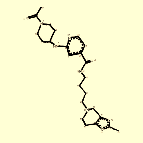 CC(=O)N1CCC(Nc2cc(C(=O)NCCCCN3CCc4oc(C)nc4C3)ccn2)CC1